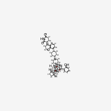 Nc1nnc(-c2ccccc2O)cc1N1C[C@H]2CC[C@@H](C1)N2c1nccc(N2CCN([C@H]3CC[C@@H](c4cccc5c4OCCN5[C@H]4CCC(=O)NC4=O)CC3)CC2)n1